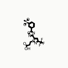 CS(=O)(=O)c1cccc(-c2nc(-c3cc(C(F)(F)F)nn3CCC(=O)O)no2)c1